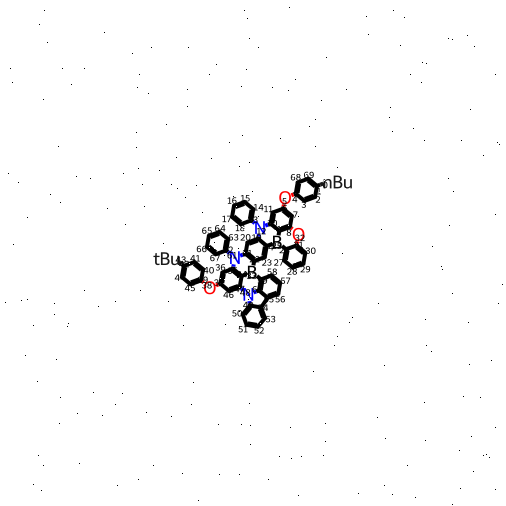 CCCCc1ccc(Oc2cc3c4c(c2)N(c2ccccc2)c2cc5c(cc2B4c2ccccc2O3)B2c3c(cc(Oc4ccc(C(C)(C)C)cc4)cc3-n3c4ccccc4c4cccc2c43)N5c2ccccc2)cc1